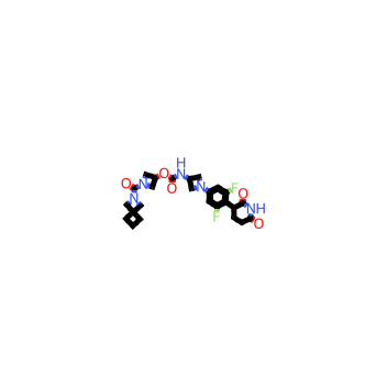 O=C1CCC(c2c(F)cc(N3CC(NC(=O)OC4CN(C(=O)N5CC6(CCC6)C5)C4)C3)cc2F)C(=O)N1